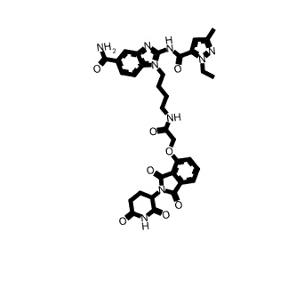 CCn1nc(C)cc1C(=O)Nc1nc2cc(C(N)=O)ccc2n1CCCCNC(=O)COc1cccc2c1C(=O)N(C1CCC(=O)NC1=O)C2=O